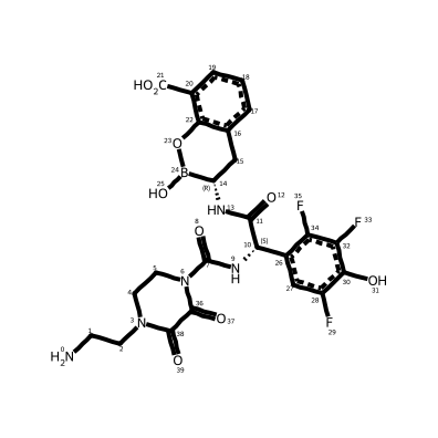 NCCN1CCN(C(=O)N[C@H](C(=O)N[C@H]2Cc3cccc(C(=O)O)c3OB2O)c2cc(F)c(O)c(F)c2F)C(=O)C1=O